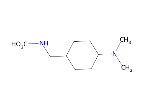 CN(C)C1CCC(CNC(=O)O)CC1